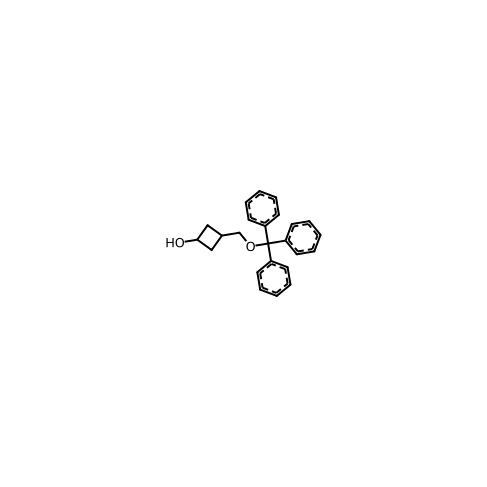 OC1CC(COC(c2ccccc2)(c2ccccc2)c2ccccc2)C1